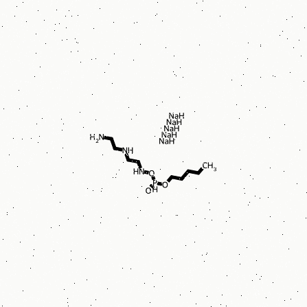 CCCCCO[PH](=O)ONCCNCCN.[NaH].[NaH].[NaH].[NaH].[NaH]